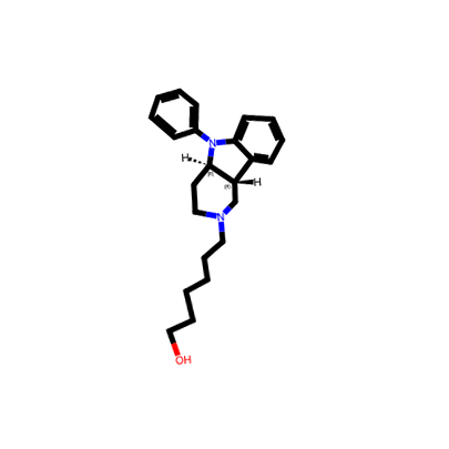 OCCCCCCN1CC[C@@H]2[C@@H](C1)c1ccccc1N2c1ccccc1